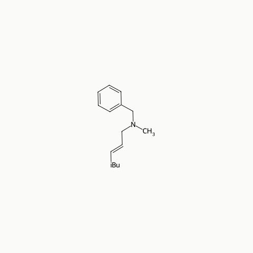 CCC(C)/C=C/CN(C)Cc1ccccc1